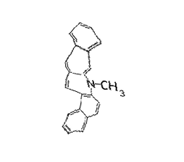 CN1c2cc3ccccc3cc2C=Cc2c1ccc1ccccc21